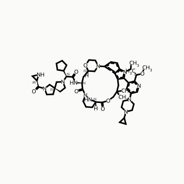 CCn1c(-c2cc(N3CCN(C4CC4)CC3)cnc2[C@H](C)OC)c2c3cc(ccc31)N1CCO[C@@H](C[C@H](NC(=O)[C@H](C3CCCC3)N3CC[C@]4(CCN(C(=O)[C@H]5CN5)C4)C3)C(=O)N3CCC[C@H](N3)C(=O)OCC(C)(C)C2)C1